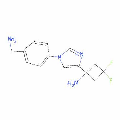 NCc1[c]cc(-n2cnc(C3(N)CC(F)(F)C3)c2)cc1